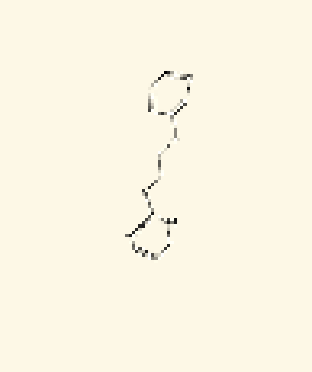 [C]1=C(SCCSc2ccccc2)NCC=C1